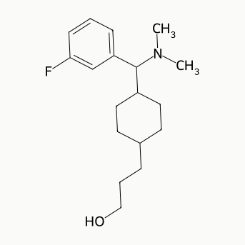 CN(C)C(c1cccc(F)c1)C1CCC(CCCO)CC1